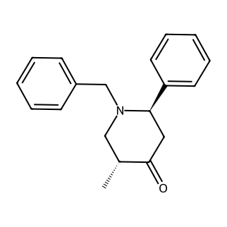 C[C@@H]1CN(Cc2ccccc2)[C@@H](c2ccccc2)CC1=O